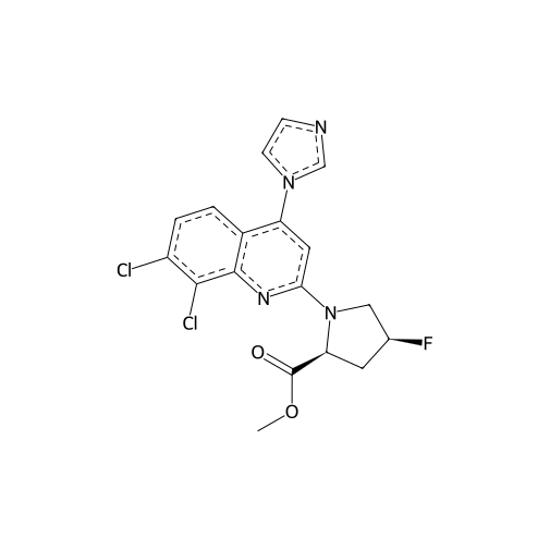 COC(=O)[C@@H]1C[C@H](F)CN1c1cc(-n2ccnc2)c2ccc(Cl)c(Cl)c2n1